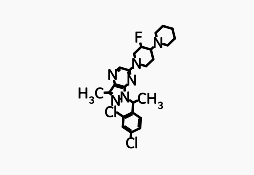 Cc1nn(C(C)c2ccc(Cl)cc2Cl)c2nc(N3CCC(N4CCCCC4)C(F)C3)cnc12